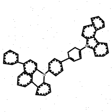 C1=C(c2ccc(N(c3ccc(-c4ccccc4)cc3)c3ccccc3-c3ccccc3)cc2)CCC(n2c3ccccc3c3c4ccccc4ccc32)=C1